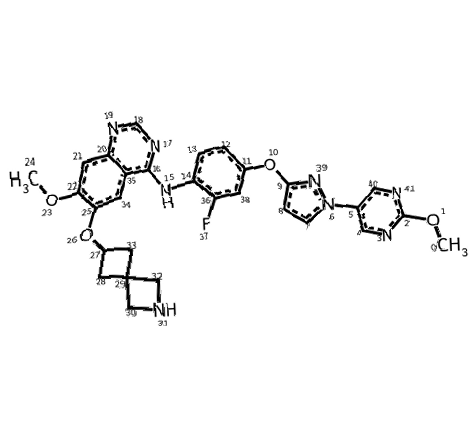 COc1ncc(-n2ccc(Oc3ccc(Nc4ncnc5cc(OC)c(OC6CC7(CNC7)C6)cc45)c(F)c3)n2)cn1